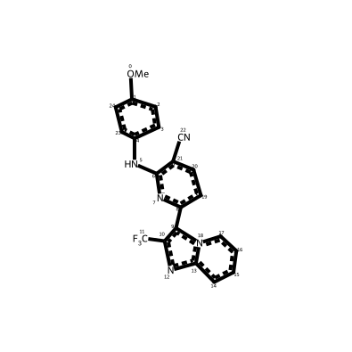 COc1ccc(Nc2nc(-c3c(C(F)(F)F)nc4ccccn34)ccc2C#N)cc1